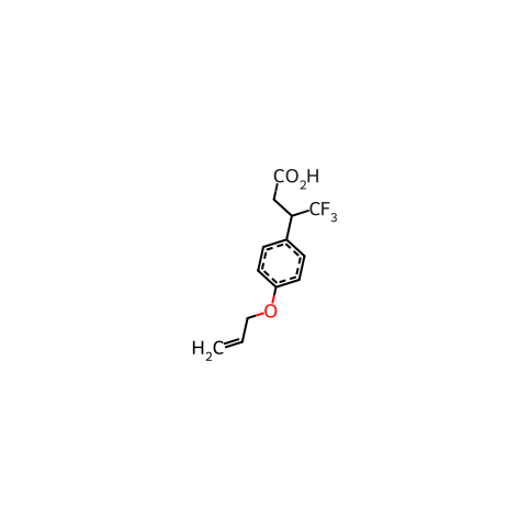 C=CCOc1ccc(C(CC(=O)O)C(F)(F)F)cc1